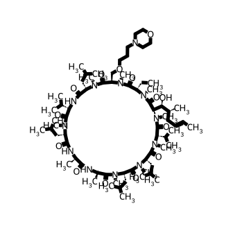 C/C=C/C[C@@H](C)[C@@H](O)[C@H]1C(=O)N(C)[C@@H](CC)C(=O)N(C)[C@H](COCCCN2CCOCC2)C(=O)N(C)[C@@H](CC(C)C)C(=O)N[C@@H](C(C)C)C(=O)N(C)[C@@H](CC(C)C)C(=O)N[C@@H](C)C(=O)N[C@H](C)C(=O)N(C)[C@@H](CC(C)C)C(=O)N(C)[C@@H](CC(C)C)C(=O)N(C)[C@@H](C(C)C)C(=O)N1C